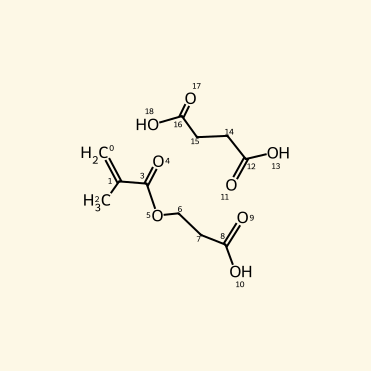 C=C(C)C(=O)OCCC(=O)O.O=C(O)CCC(=O)O